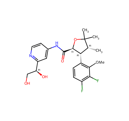 COc1c([C@@H]2[C@@H](C(=O)Nc3ccnc([C@@H](O)CO)c3)OC(C)(C)[C@@H]2C)ccc(F)c1F